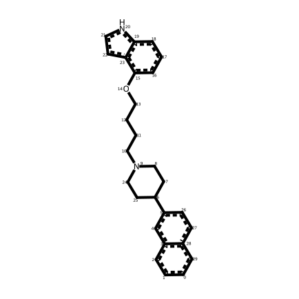 c1ccc2cc(C3CCN(CCCCOc4cccc5[nH]ccc45)CC3)ccc2c1